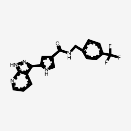 O=C(NCc1ccc(C(F)(F)F)cc1)c1c[nH]c(-c2n[nH]c3ncccc23)c1